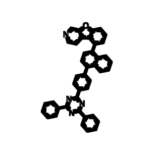 c1ccc(-c2nc(-c3ccccc3)nc(-c3ccc(-c4ccc(-c5cccc6oc7cnccc7c56)c5ccccc45)cc3)n2)cc1